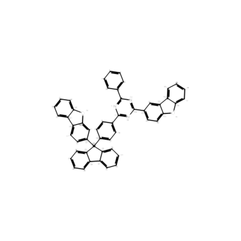 c1ccc(-c2nc(-c3ccc(C4(c5ccc6c(c5)oc5ccccc56)c5ccccc5-c5ccccc54)cc3)nc(-c3ccc4oc5ccccc5c4c3)n2)cc1